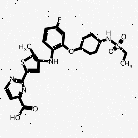 CCS(=O)(=O)NC1CCC(Oc2cc(F)ccc2Nc2cc(-c3nccc(C(=O)O)n3)sc2C)CC1